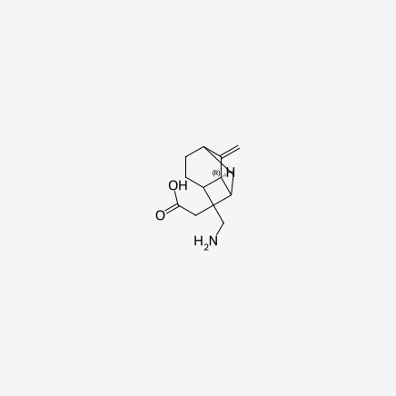 C=C1C2CCC3[C@@H]1C(C2)C3(CN)CC(=O)O